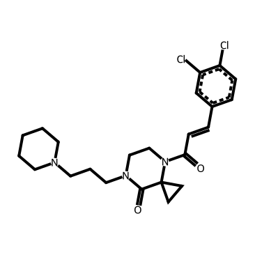 O=C(C=Cc1ccc(Cl)c(Cl)c1)N1CCN(CCCN2CCCCC2)C(=O)C12CC2